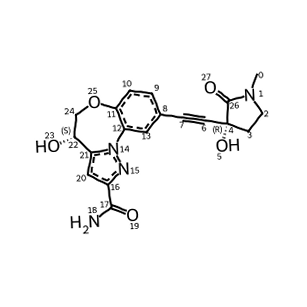 CN1CC[C@@](O)(C#Cc2ccc3c(c2)-n2nc(C(N)=O)cc2[C@H](O)CO3)C1=O